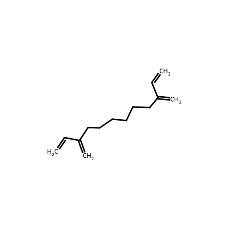 C=CC(=C)CCCCCCC(=C)C=C